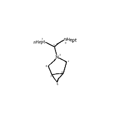 CCCCCCCC(CCCCCCC)N1CC2CC2C1